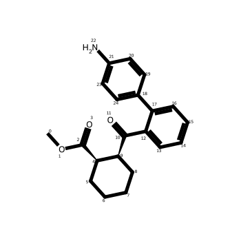 COC(=O)[C@@H]1CCCC[C@@H]1C(=O)c1ccccc1-c1ccc(N)cc1